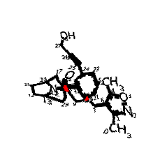 Cc1noc(C)c1CSCC(=O)N1C2CCC1CC(c1ccccc1C#CCO)C2